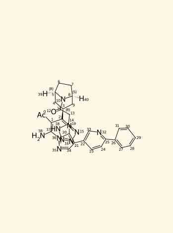 CC(=O)c1c([C@H]2C[C@H]3CC[C@@H](C2)N3C(=O)Cc2nnn[nH]2)nc2c(-c3ccc(-c4ccccc4)nc3)cnn2c1N